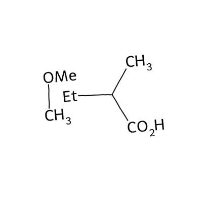 CCC(C)C(=O)O.COC